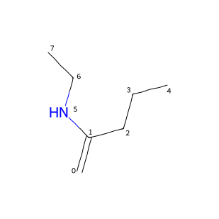 C=C(CCC)NCC